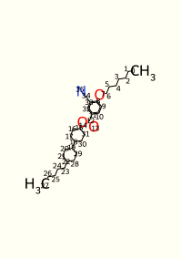 CCCCCCCOc1ccc(C(=O)OC2CCC(C3CCC(CCCCC)CC3)CC2)cc1C#N